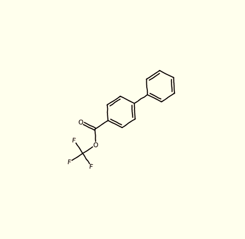 O=C(OC(F)(F)F)c1ccc(-c2ccccc2)cc1